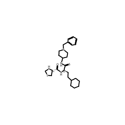 O=C(N[C@H](CCC1CCCCC1)C(=S)NC1CCN(Cc2ccccc2)CC1)[C@@H]1CSCN1